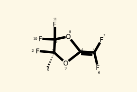 C[C@@]1(F)OC(=C(F)F)OC1(F)F